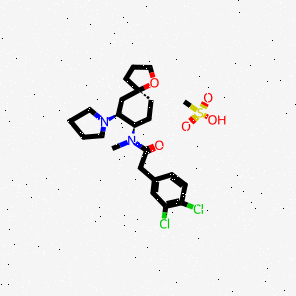 CN(C(=O)Cc1ccc(Cl)c(Cl)c1)[C@H]1CC[C@@]2(CCCO2)C[C@@H]1N1CCCC1.CS(=O)(=O)O